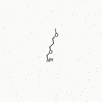 CCCCOCCCOI